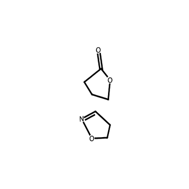 C1=NOCC1.O=C1CCCO1